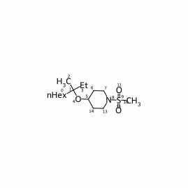 CCCCCCC(C)(CC)OC1CCN(S(C)(=O)=O)CC1